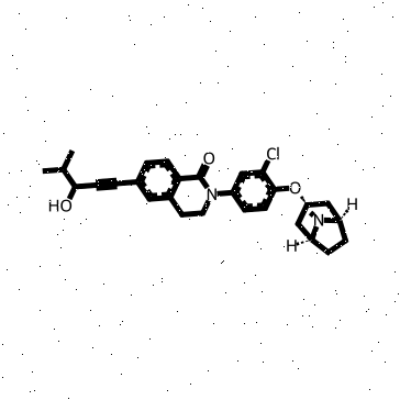 CC(C)C(O)C#Cc1ccc2c(c1)CCN(c1ccc(O[C@@H]3C[C@H]4CC[C@@H](C3)N4C)c(Cl)c1)C2=O